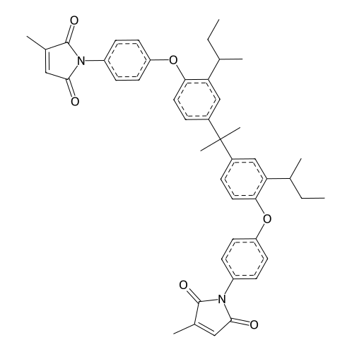 CCC(C)c1cc(C(C)(C)c2ccc(Oc3ccc(N4C(=O)C=C(C)C4=O)cc3)c(C(C)CC)c2)ccc1Oc1ccc(N2C(=O)C=C(C)C2=O)cc1